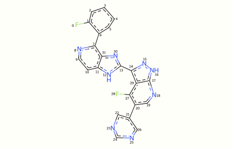 Fc1ccccc1-c1nccc2[nH]c(-c3n[nH]c4ncc(-c5cncnc5)c(F)c34)nc12